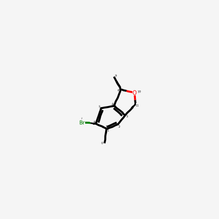 Cc1cc2c(cc1Br)C(C)OC2